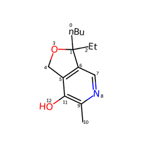 CCCCC1(CC)OCc2c1cnc(C)c2O